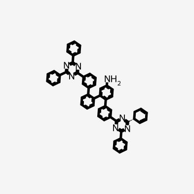 Nc1ccc(-c2cccc(-c3nc(-c4ccccc4)nc([C@H]4C=CC=CC4)n3)c2)c(-c2ccccc2-c2cccc(-c3nc(-c4ccccc4)nc(-c4ccccc4)n3)c2)c1